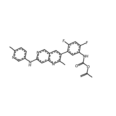 C=C(C)OC(=O)Nc1cc(-c2cc3cnc(Nc4ccc(C)nc4)cc3nc2C)c(F)cc1F